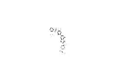 CCc1cc(-c2cc(F)c(NS(=O)(=O)c3ccccc3Cl)cc2OC)cc2cnc(NC3CCC(N(C)C(=O)OC(C)(C)C)CC3)nc12